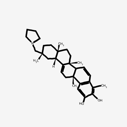 Cc1c(O)c(O)cc2c1C=CC1[C@@]3(C)CC[C@@]4(C)CC[C@@](C)(CN5CCCC5)C[C@H]4C3=CC[C@@]21C